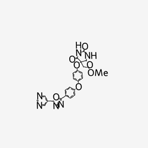 COCCC1(Oc2ccc(Oc3ccc(-c4nnc(-c5cncnc5)o4)cc3)cc2)C(=O)NC(=O)NC1=O